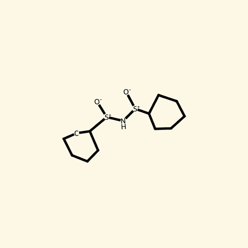 [O-][S+](N[S+]([O-])C1CCCCC1)C1CCCCC1